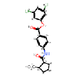 O=C(Oc1cc(Cl)cc(Cl)c1)c1ccc(NC(=O)C2CCCC2C(=O)O)cc1